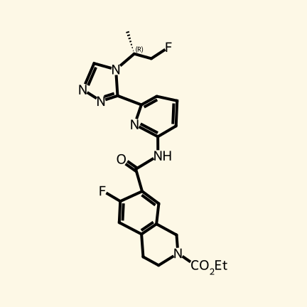 CCOC(=O)N1CCc2cc(F)c(C(=O)Nc3cccc(-c4nncn4[C@H](C)CF)n3)cc2C1